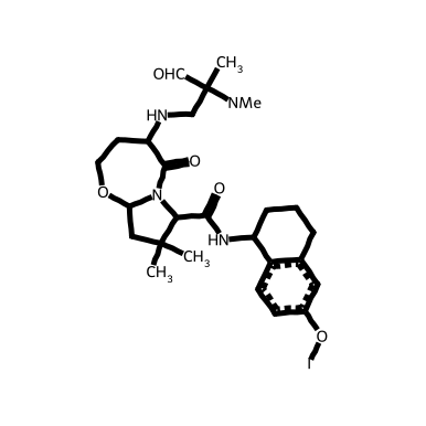 CNC(C)(C=O)CNC1CCOC2CC(C)(C)C(C(=O)NC3CCCc4cc(OI)ccc43)N2C1=O